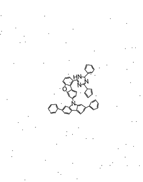 C1=CC(C2=NC(c3ccccc3)NC(c3cccc4oc5cc(-n6c7cc(-c8ccccc8)ccc7c7ccc(-c8ccccc8)cc76)ccc5c34)=N2)C=C1